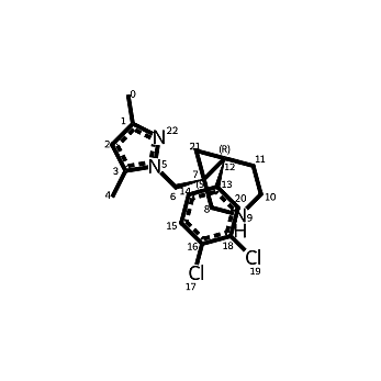 Cc1cc(C)n(C[C@]23CNCC[C@@]2(c2ccc(Cl)c(Cl)c2)C3)n1